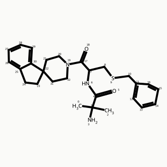 CC(C)(N)C(=O)NC(CSCc1ccccc1)C(=O)N1CCC2(CCc3ccccc32)CC1